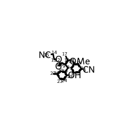 COc1cc(C#N)ccc1[C@@H](C(C(=O)OCCC#N)=C(C)C)c1cc(C)ccc1O